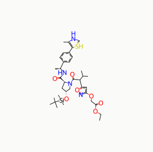 CCOC(=O)COc1cc(C(C(=O)N2C[C@H](O[Si](C)(C)C(C)(C)C)C[C@H]2C(=O)N[C@@H](C)c2ccc(C3=C(C)NC=[SH]3)cc2)C(C)C)on1